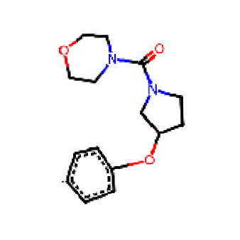 O=C(N1CCOCC1)N1CCC(Oc2cc[c]cc2)C1